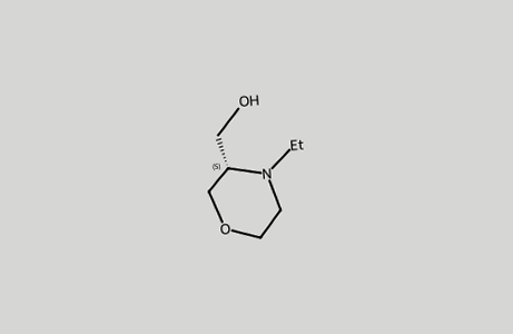 CCN1CCOC[C@@H]1CO